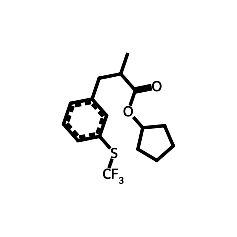 CC(Cc1cccc(SC(F)(F)F)c1)C(=O)OC1CCCC1